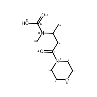 CC(CC(=O)N1CCOCC1)N(C)C(=O)O